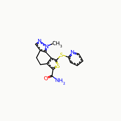 Cn1ncc2c1-c1c(Sc3ccccn3)sc(C(N)=O)c1CC2